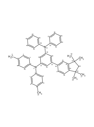 Cc1ccc(N(c2ccc(C)cc2)c2cc(-c3ccc4c(c3)C(C)(C)CC4(C)C)cc(N(c3ccccc3)c3ccccc3)c2)cc1